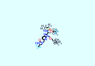 CC(C)(C)[S@@+]([O-])N[C@@H](COC(C)(C)C(F)(F)F)c1nc2ccc(CN3CC(C(F)(F)F)NC3=O)nc2n1COCC[Si](C)(C)C